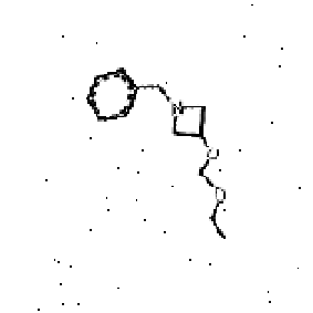 CCOCOC1CN(Cc2ccccc2)C1